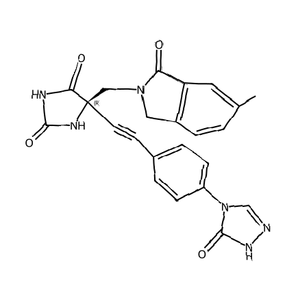 Cc1ccc2c(c1)C(=O)N(C[C@@]1(C#Cc3ccc(-n4cn[nH]c4=O)cc3)NC(=O)NC1=O)C2